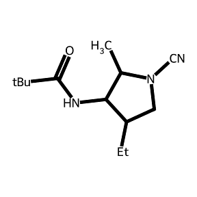 CCC1CN(C#N)C(C)C1NC(=O)C(C)(C)C